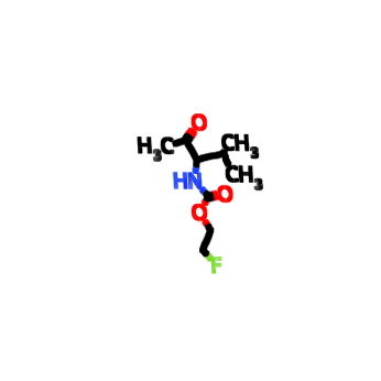 CC(=O)C(NC(=O)OCCF)C(C)C